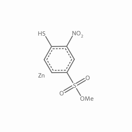 COS(=O)(=O)c1ccc(S)c([N+](=O)[O-])c1.[Zn]